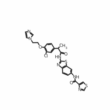 CC(C(=O)Nc1nc2ccc(NC(=O)c3cscn3)cc2s1)c1ccc(OCCn2ccnc2)c(Cl)c1